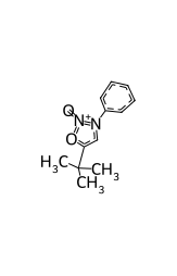 CC(C)(C)c1cn(-c2ccccc2)[n+](=O)o1